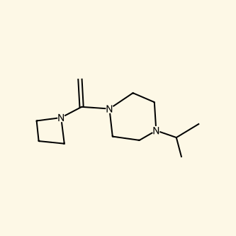 C=C(N1CCC1)N1CCN(C(C)C)CC1